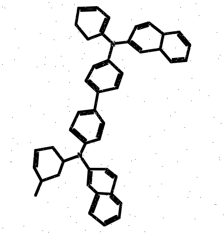 CC1C=CCC(N(c2ccc(-c3ccc(N(C4=CC5C=CC=CC5C=C4)C4=CC=CCC4)cc3)cc2)c2ccc3ccccc3c2)C1